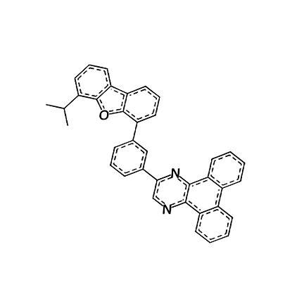 CC(C)c1cccc2c1oc1c(-c3cccc(-c4cnc5c6ccccc6c6ccccc6c5n4)c3)cccc12